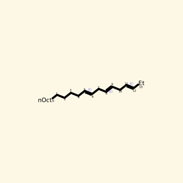 [CH2]CCCCCCCCCCC/C=C/C/C=C/C/C=C/CC